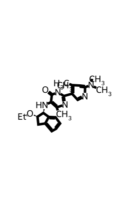 CCO[C@H]1Cc2ccccc2[C@H]1Nc1c(C)nc(-c2cnc(N(C)C)cc2C)n(C)c1=O